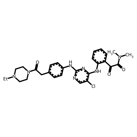 CCN1CCN(C(=O)Cc2ccc(Nc3ncc(Cl)c(Nc4ccccc4C(=O)C(=O)N(C)C)n3)cc2)CC1